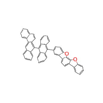 c1ccc2c(-c3c4ccccc4c(-c4ccc5oc6c(ccc7c8ccccc8oc76)c5c4)c4ccccc34)c3ccc4ccccc4c3cc2c1